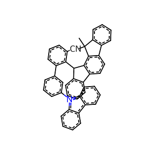 CC1(C)c2ccccc2-c2ccc3c(c21)C(c1c(C#N)cccc1-c1cccc(-n2c4ccccc4c4ccccc42)c1)c1ccccc1-3